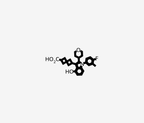 Cc1cc(-n2c(C3CCOCC3)c(C3CC4(CC(C(=O)O)C4)C3)c3c(O)cccc32)ccc1F